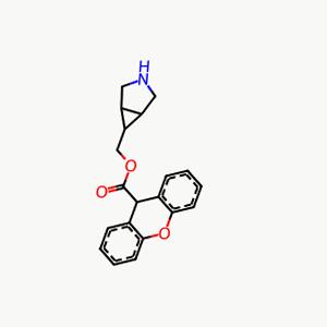 O=C(OCC1C2CNCC21)C1c2ccccc2Oc2ccccc21